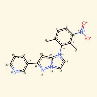 Cc1ccc([N+](=O)[O-])c(C)c1-n1ccn2nc(-c3cccnc3)cc12